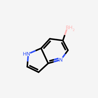 Bc1cnc2cc[nH]c2c1